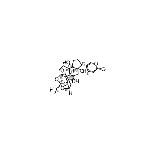 C[C@@]12O[C@H]3C[C@@H](O1)[C@]1(C=O)[C@H]4[C@H](O)C[C@]5(C)[C@@H](c6ccc(=O)oc6)CC[C@]5(O)[C@@H]4CC[C@@]1(C3)O2